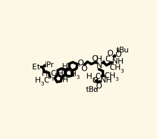 CCC(CCC(C)[C@H]1CC[C@H]2[C@@H]3CC=C4C[C@@H](OC(=O)CCC(=O)N(CCC(C)(C)NC(=O)OC(C)(C)C)CCC(C)(C)NC(=O)OC(C)(C)C)CC[C@]4(C)[C@H]3CC[C@]12C)C(C)C